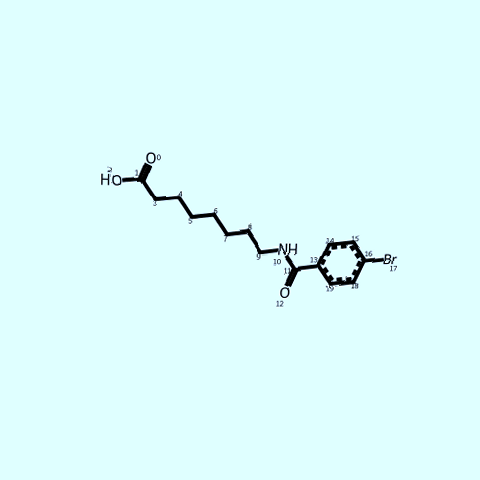 O=C(O)CCCCCCCNC(=O)c1ccc(Br)cc1